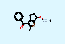 Cc1sc2c(c1C(=O)c1ccccc1)CCC2OC(=O)O